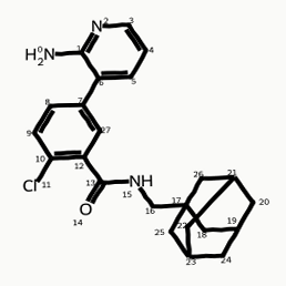 Nc1ncccc1-c1ccc(Cl)c(C(=O)NCC23CC4CC(CC(C4)C2)C3)c1